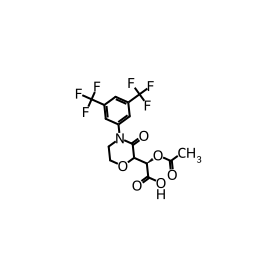 CC(=O)O[C@@H](C(=O)O)C1OCCN(c2cc(C(F)(F)F)cc(C(F)(F)F)c2)C1=O